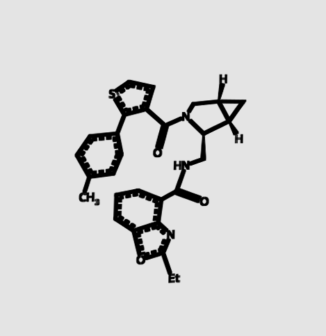 CCc1nc2c(C(=O)NC[C@@H]3[C@H]4C[C@H]4CN3C(=O)c3ccsc3-c3ccc(C)cc3)cccc2o1